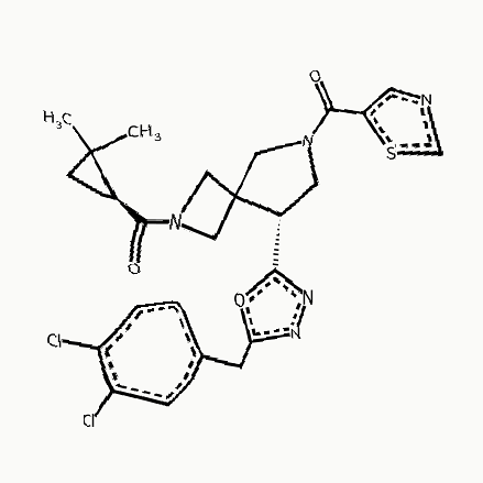 CC1(C)C[C@@H]1C(=O)N1CC2(CN(C(=O)c3cncs3)C[C@@H]2c2nnc(Cc3ccc(Cl)c(Cl)c3)o2)C1